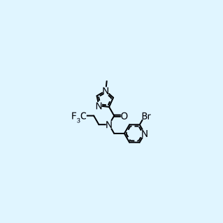 Cn1cnc(C(=O)N(CCC(F)(F)F)Cc2ccnc(Br)c2)c1